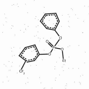 CCOP(=O)(Oc1ccccc1)Oc1cccc(C(F)(F)F)c1